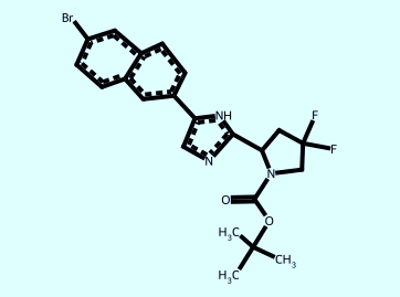 CC(C)(C)OC(=O)N1CC(F)(F)CC1c1ncc(-c2ccc3cc(Br)ccc3c2)[nH]1